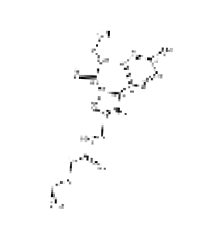 C=CCCC(=O)NCc1nc(-c2ccc(C#N)cc2)c(C(=O)OCC#N)o1